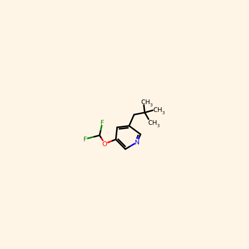 CC(C)(C)Cc1cncc(OC(F)F)c1